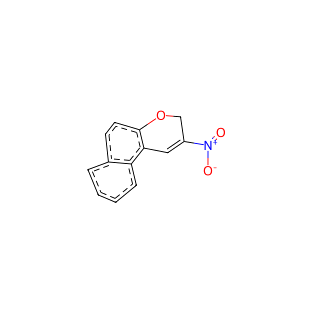 O=[N+]([O-])C1=Cc2c(ccc3ccccc23)OC1